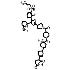 CCCS(=O)(=O)Nc1cccc(-c2nc(C3CCN(C(=O)C4CCN(C(=O)C5(C)CCN(c6ccc([C@@H]7CCC(=O)NC7=O)cn6)CC5)CC4)CC3)sc2-c2ccnc(N)n2)c1F